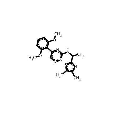 COc1cccc(OC)c1-c1cnnc(NC(C)c2nc(C)c(C)s2)n1